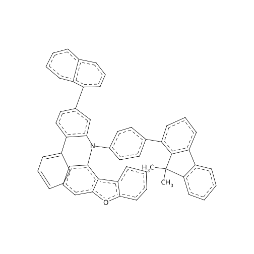 CC1(C)c2ccccc2-c2cccc(-c3ccc(N(c4cc(-c5cccc6ccccc56)ccc4C4=CC=CCC4)c4cccc5oc6ccccc6c45)cc3)c21